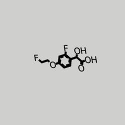 O=C(O)C(O)c1ccc(OCCF)cc1F